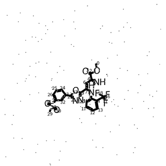 COC(=O)C(=N)/C=C(\Nc1ccccc1C(F)(F)F)c1nnc(-c2cccc(S(C)(=O)=O)c2)o1